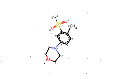 Cc1ccc(N2CCOCC2)cc1S(=O)(=O)C(C)C